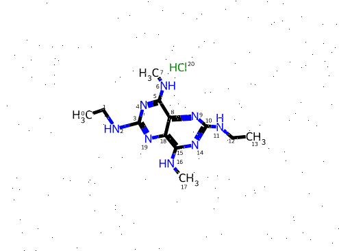 CCNc1nc(NC)c2nc(NCC)nc(NC)c2n1.Cl